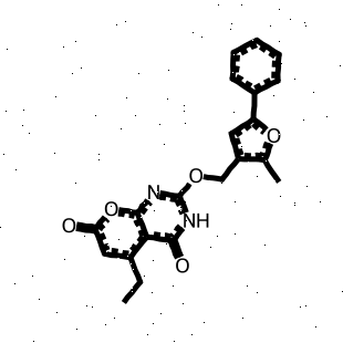 CCc1cc(=O)oc2nc(OCc3cc(-c4ccccc4)oc3C)[nH]c(=O)c12